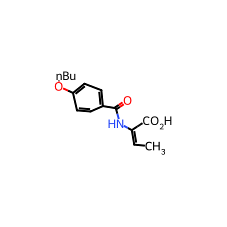 C/C=C(/NC(=O)c1ccc(OCCCC)cc1)C(=O)O